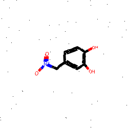 O=[N+]([O-])Cc1ccc(O)c(O)c1